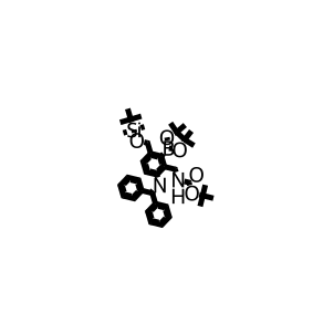 CC(C)(C)OC(=O)NCc1c(N=C(c2ccccc2)c2ccccc2)ccc(CO[Si](C)(C)C(C)(C)C)c1B1OC(C)(C)C(C)(C)O1